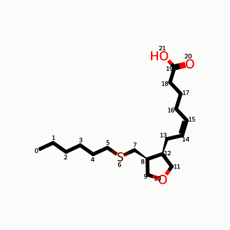 CCCCCCSC[C@@H]1COC[C@@H]1C/C=C\CCCC(=O)O